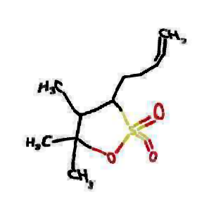 C=CCC1C(C)C(C)(C)OS1(=O)=O